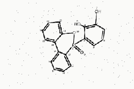 O=P1(c2cccc(O)c2O)Oc2ccccc2-c2ccccc21